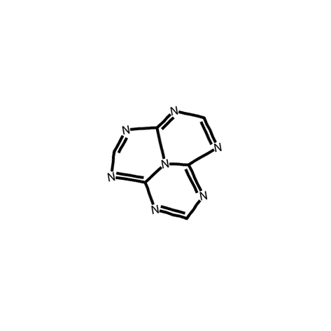 C1=NC2=NC=NC3=NC=NC(=N1)N23